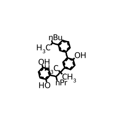 CCCCC(C)c1cccc(-c2cc(C(C)(C)C(CCC)c3cc(O)ccc3O)ccc2O)c1